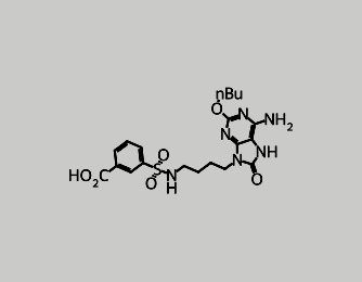 CCCCOc1nc(N)c2[nH]c(=O)n(CCCCNS(=O)(=O)c3cccc(C(=O)O)c3)c2n1